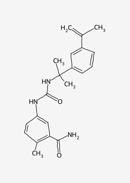 C=C(C)c1cccc(C(C)(C)NC(=O)Nc2ccc(C)c(C(N)=O)c2)c1